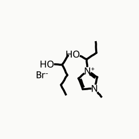 CCC(O)[n+]1ccn(C)c1.CCCC(C)O.[Br-]